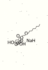 CCCCCCCCOCCOC(=O)C(CC(=O)O)S(=O)(=O)O.[NaH]